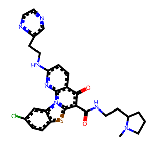 CN1CCCC1CCNC(=O)c1c(=O)c2ccc(NCCc3cnccn3)nc2n2c1sc1ccc(Cl)cc12